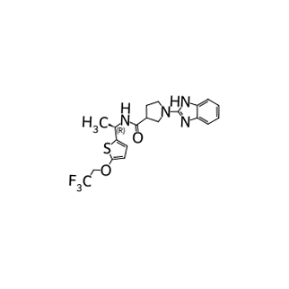 C[C@@H](NC(=O)C1CCN(c2nc3ccccc3[nH]2)C1)c1ccc(OCC(F)(F)F)s1